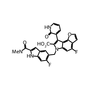 CNC(=O)c1cc2cc(Cn3c(C(=O)O)c(-c4ccc[nH]c4=O)c4c5occc5c(F)cc43)c(F)cc2[nH]1